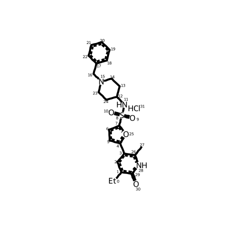 CCc1cc(-c2ccc(S(=O)(=O)NC3CCN(Cc4ccccc4)CC3)o2)c(C)[nH]c1=O.Cl